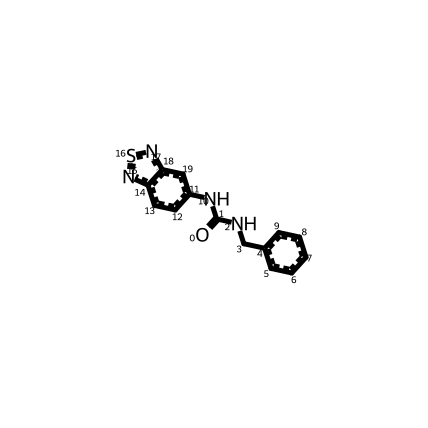 O=C(NCc1ccccc1)Nc1ccc2nsnc2c1